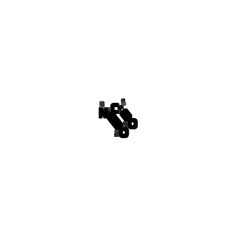 [O]=[Cr].[O]=[Ni]